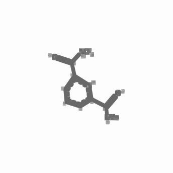 CNC(=O)c1cccc(C(=O)NC(F)(F)F)n1